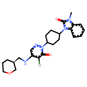 Cn1c(=O)n(C2CCC(n3ncc(NC[C@@H]4CCCOC4)c(Cl)c3=O)CC2)c2ccccc21